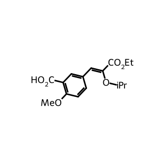 CCOC(=O)C(=Cc1ccc(OC)c(C(=O)O)c1)OC(C)C